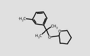 [CH2]c1cccc(C(C)(C)OC2CCCCO2)c1